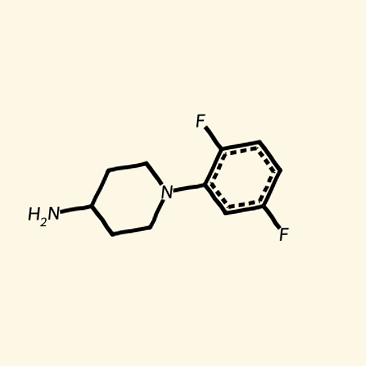 NC1CCN(c2cc(F)ccc2F)CC1